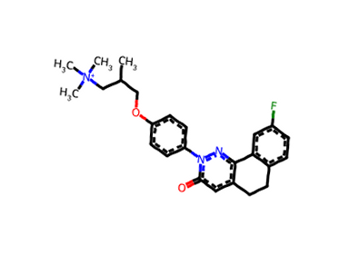 CC(COc1ccc(-n2nc3c(cc2=O)CCc2ccc(F)cc2-3)cc1)C[N+](C)(C)C